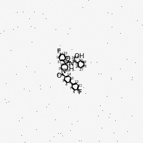 O=C(c1ccc(-c2ccc(F)cc2)cc1)N1CCC(C(=O)N[C@@H](CO)c2ccccc2)(c2ccc(F)cc2)CC1